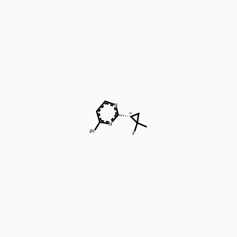 CC(C)c1ccnc([C@@H]2CC2(C)F)n1